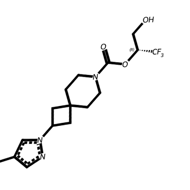 Cc1cnn(C2CC3(CCN(C(=O)O[C@H](CO)C(F)(F)F)CC3)C2)c1